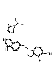 N#Cc1ccc2c(c1F)CC[C@H]2Oc1ccc2[nH]nc(-c3cnn(C(F)F)c3)c2c1